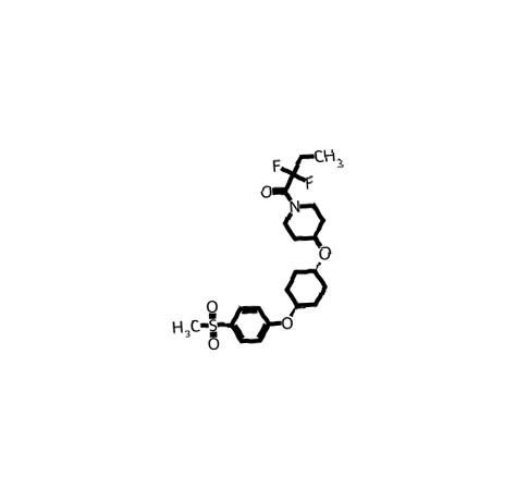 CCC(F)(F)C(=O)N1CCC(O[C@H]2CC[C@H](Oc3ccc(S(C)(=O)=O)cc3)CC2)CC1